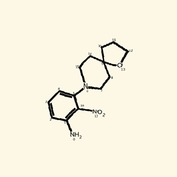 Nc1cccc(N2CCC3(CCCO3)CC2)c1[N+](=O)[O-]